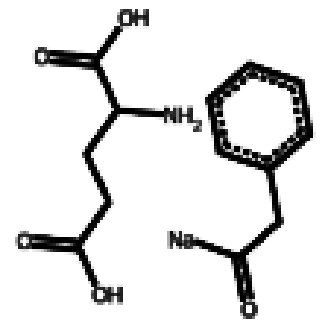 NC(CCC(=O)O)C(=O)O.O=[C]([Na])Cc1ccccc1